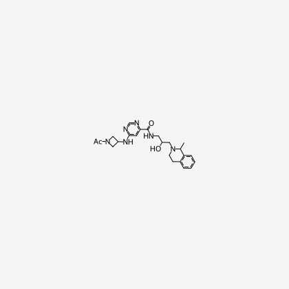 CC(=O)N1CC(Nc2cc(C(=O)NCC(O)CN3CCc4ccccc4C3C)ncn2)C1